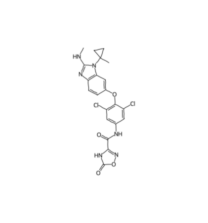 CNc1nc2ccc(Oc3c(Cl)cc(NC(=O)c4noc(=O)[nH]4)cc3Cl)cc2n1C1(C)CC1